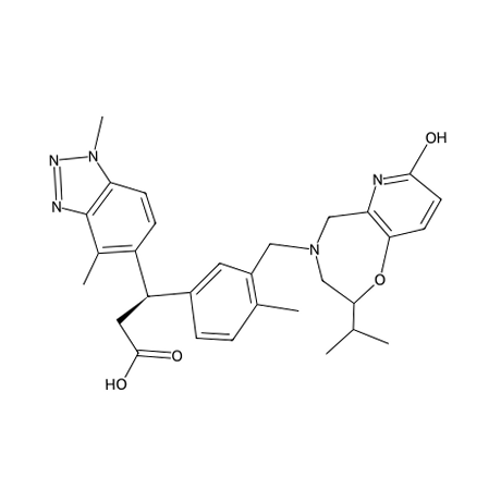 Cc1ccc([C@@H](CC(=O)O)c2ccc3c(nnn3C)c2C)cc1CN1Cc2nc(O)ccc2OC(C(C)C)C1